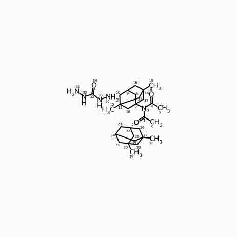 CC(=O)N(C(C)=O)C12CC3CC(C)(CC(C)(C3)C1)C2.CC12CC3CC(C1)CC(C)(C3)C2.NNC(=O)NN